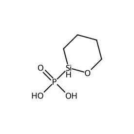 O=P(O)(O)[SiH]1CCCCO1